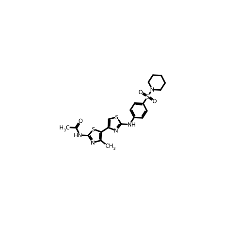 CC(=O)Nc1nc(C)c(-c2csc(Nc3ccc(S(=O)(=O)N4CCCCC4)cc3)n2)s1